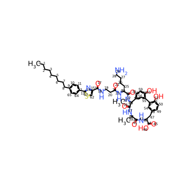 CCCCCCCCCc1ccc(-c2nc(C(=O)NCCC(=O)N[C@@H](CCCCN)C(=O)N(C)[C@@H]3C(=O)N[C@@H](C)C(=O)N[C@H](C(=O)O)Cc4ccc(O)c(c4)-c4cc3ccc4O)cs2)cc1